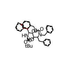 CC(C)(C)OC(=O)NC(Cc1ccccc1)C(O)C(O)C(Cc1ccccc1)N(Cc1ccccc1)C(=O)OCc1ccccc1